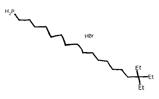 Br.CCC(CC)(CC)CCCCCCCCCCCCCCCP